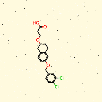 O=C(O)CCOC1CCc2cc(OCc3ccc(Cl)c(Cl)c3)ccc2C1